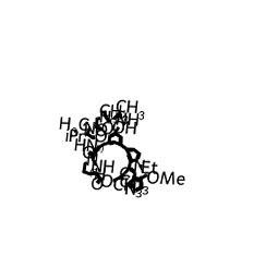 CCn1c(-c2cnccc2COC)c2c3cc(ccc31)-c1cc(O)cc(c1)C[C@H](NC(=O)C(C(C)C)N(C)C(=O)CN(C)C(=O)[C@H]1N[C@H]1C)C(=O)N1CCC[C@H](N1)C(=O)OCC(C)(C)C2